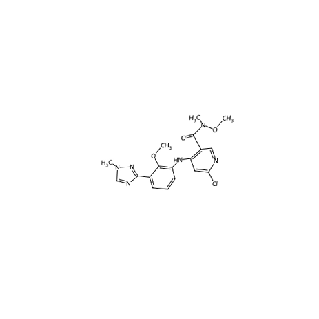 COc1c(Nc2cc(Cl)ncc2C(=O)N(C)OC)cccc1-c1ncn(C)n1